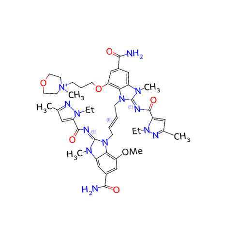 CCn1nc(C)cc1C(=O)/N=c1\n(C)c2cc(C(N)=O)cc(OC)c2n1C/C=C/Cn1/c(=N/C(=O)c2cc(C)nn2CC)n(C)c2cc(C(N)=O)cc(OCCC[N+]3(C)CCOCC3)c21